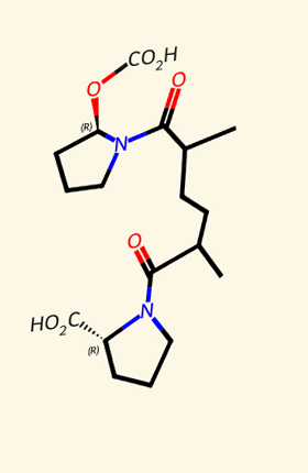 CC(CCC(C)C(=O)N1CCC[C@H]1OC(=O)O)C(=O)N1CCC[C@@H]1C(=O)O